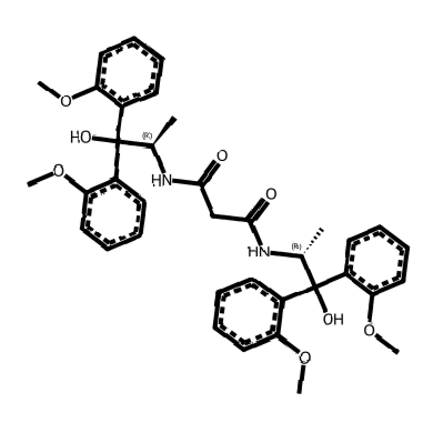 COc1ccccc1C(O)(c1ccccc1OC)[C@@H](C)NC(=O)CC(=O)N[C@H](C)C(O)(c1ccccc1OC)c1ccccc1OC